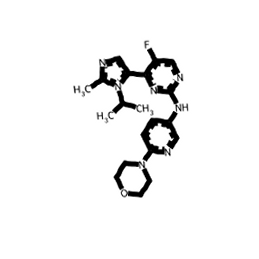 Cc1ncc(-c2nc(Nc3ccc(N4CCOCC4)nc3)ncc2F)n1C(C)C